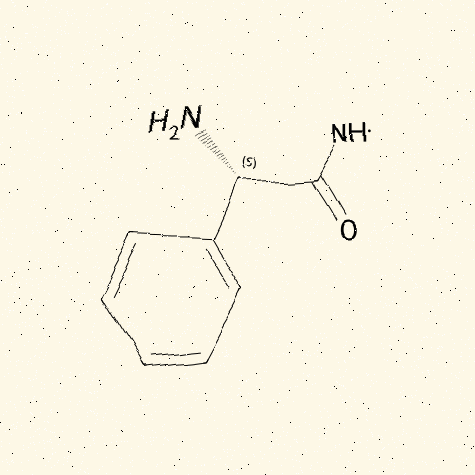 [NH]C(=O)[C@@H](N)c1ccccc1